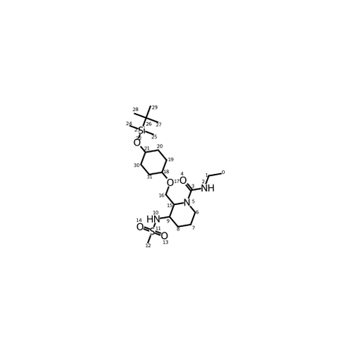 CCNC(=O)N1CCCC(NS(C)(=O)=O)C1COC1CCC(O[Si](C)(C)C(C)(C)C)CC1